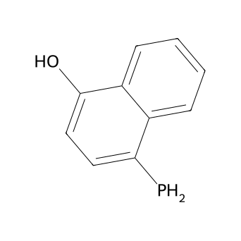 Oc1ccc(P)c2ccccc12